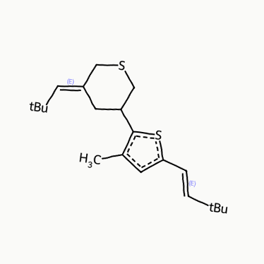 Cc1cc(/C=C/C(C)(C)C)sc1C1CSC/C(=C/C(C)(C)C)C1